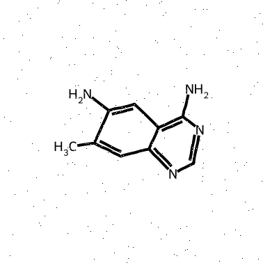 Cc1cc2ncnc(N)c2cc1N